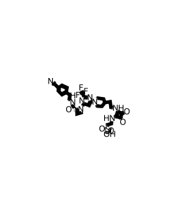 N#Cc1ccc(CCNC(=O)[C@@H]2CCN2c2cc(N3CCC(CCNc4c(NCCS(=O)(=O)O)c(=O)c4=O)CC3)nc(C(F)(F)F)n2)cc1